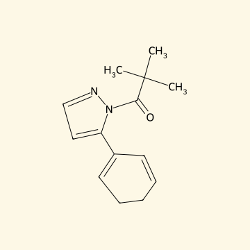 CC(C)(C)C(=O)n1nccc1C1=CCCC=C1